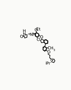 CCOc1cc(O[C@H]2CCc3c(-c4cccc(OCCCN5CCC[C@@H]5C(C)C)c4C)cccc32)c(Cl)cc1CNC[C@@H]1CCC(=O)N1